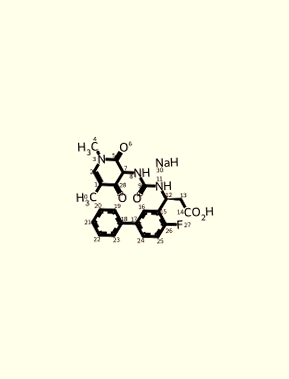 CC1=CN(C)C(=O)C(NC(=O)N[C@@H](CC(=O)O)c2cc(-c3ccccc3)ccc2F)C1=O.[NaH]